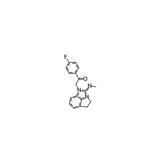 C/N=c1/n(CC(=O)c2ccc(F)cc2)c2cccc3c2n1CC3